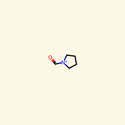 O=[C][N+]1[CH]CCC1